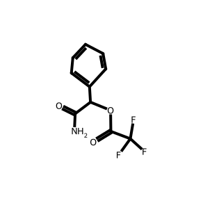 NC(=O)C(OC(=O)C(F)(F)F)c1ccccc1